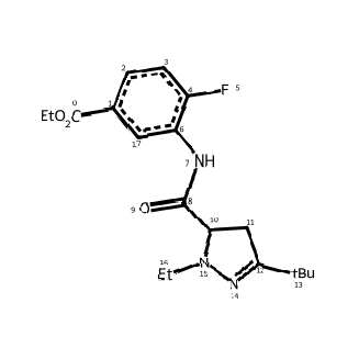 CCOC(=O)c1ccc(F)c(NC(=O)C2CC(C(C)(C)C)=NN2CC)c1